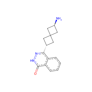 N[C@H]1CC2(C1)C[C@@H](c1n[nH]c(=O)c3ccccc31)C2